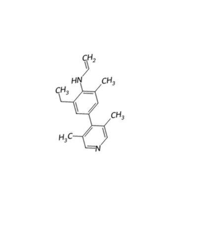 C=CNc1c(C)cc(-c2c(C)cncc2C)cc1CC